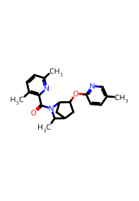 Cc1ccc(OC2CC3CC2N(C(=O)c2nc(C)ccc2C)C3C)nc1